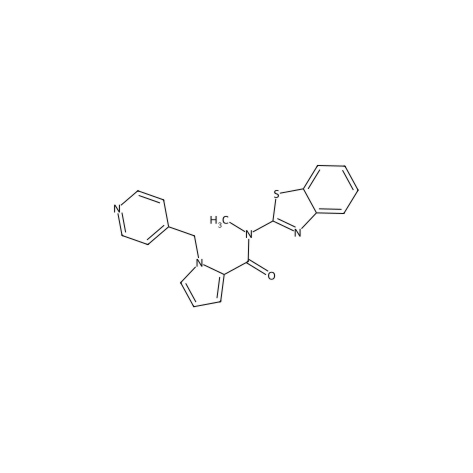 CN(C(=O)c1cccn1Cc1ccncc1)c1nc2ccccc2s1